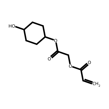 C=CC(=O)OCC(=O)OC1CCC(O)CC1